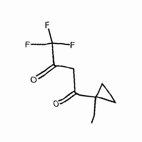 CC1(C(=O)CC(=O)C(F)(F)F)CC1